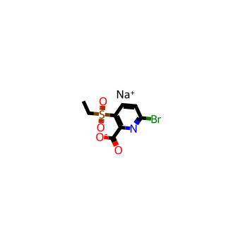 CCS(=O)(=O)c1ccc(Br)nc1C(=O)[O-].[Na+]